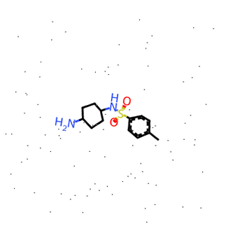 Cc1ccc(S(=O)(=O)NC2CCC(N)CC2)cc1